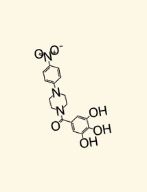 O=C(c1cc(O)c(O)c(O)c1)N1CCN(c2ccc([N+](=O)[O-])cc2)CC1